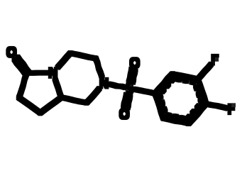 O=C1CCC2CN(S(=O)(=O)c3ccc(F)c(F)c3)CCN12